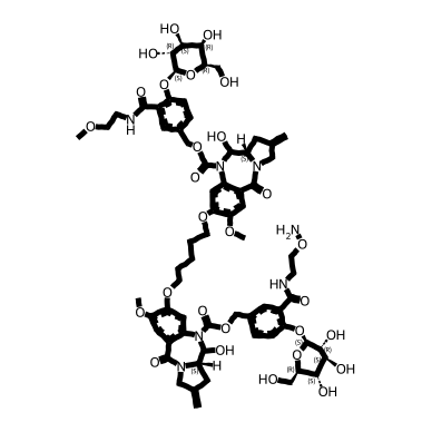 C=C1C[C@H]2C(O)N(C(=O)OCc3ccc(O[C@@H]4O[C@H](CO)[C@@H](O)[C@H](O)[C@H]4O)c(C(=O)NCCON)c3)c3cc(OCCCCCOc4cc5c(cc4OC)C(=O)N4CC(=C)C[C@H]4C(O)N5C(=O)OCc4ccc(O[C@@H]5O[C@H](CO)[C@H](O)[C@H](O)[C@H]5O)c(C(=O)NCCOC)c4)c(OC)cc3C(=O)N2C1